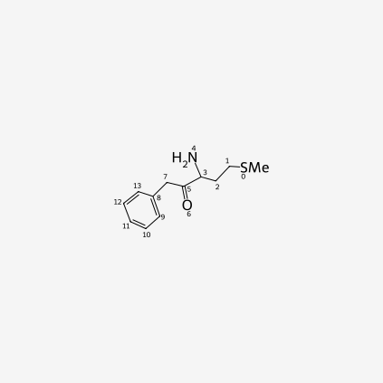 CSCCC(N)C(=O)Cc1ccccc1